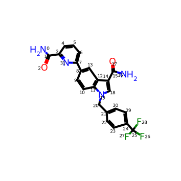 NC(=O)c1cccc(-c2ccc3c(c2)c(C(N)=O)cn3Cc2ccc(C(F)(F)F)cc2)n1